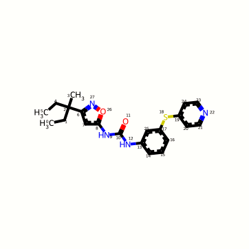 CCC(C)(CC)c1cc(NC(=O)Nc2cccc(Sc3ccncc3)c2)on1